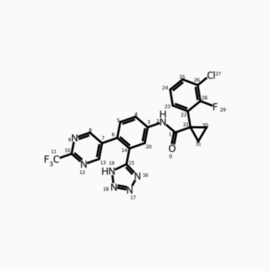 O=C(Nc1ccc(-c2cnc(C(F)(F)F)nc2)c(-c2nnn[nH]2)c1)C1(c2cccc(Cl)c2F)CC1